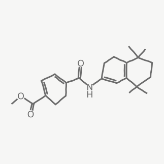 COC(=O)C1=CC=C(C(=O)NC2=CC3=C(CC2)C(C)(C)CCC3(C)C)CC1